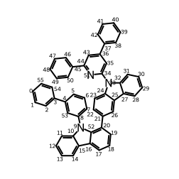 c1ccc(-c2cccc(-n3c4ccccc4c4cccc(-c5ccc6c(c5)c5ccccc5n6-c5cc(-c6ccccc6)cc(-c6ccccc6)n5)c43)c2)cc1